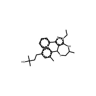 CCn1nc(-c2ccccn2)c2c1NC(C)CSC2c1ccc(CCC(C)(C)O)cc1C